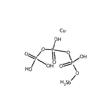 O=P(O)(O)OP(=O)(O)OP(=O)(O)[O][SbH2].[Cu]